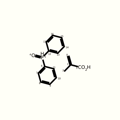 C=C(C)C(=O)O.O=[PH](c1ccccc1)c1ccccc1